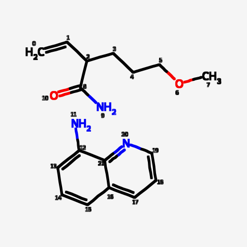 C=CC(CCCOC)C(N)=O.Nc1cccc2cccnc12